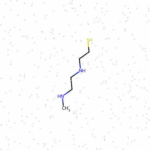 CNCCNCCS